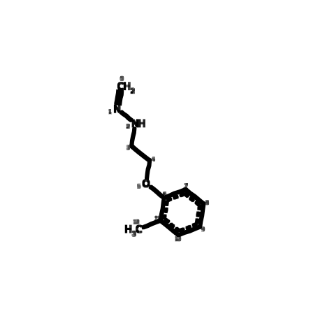 C=NNCCOc1ccccc1C